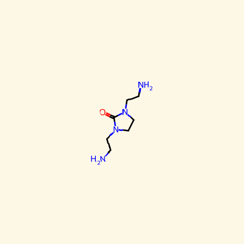 NCCN1CCN(CCN)C1=O